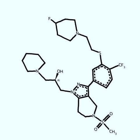 CS(=O)(=O)N1CCc2c(c(-c3ccc(C(F)(F)F)c(SCCN4CCC(F)CC4)c3)nn2C[C@H](O)CN2CCCCC2)C1